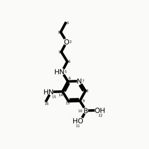 CCOCCNc1ncc(B(O)O)cc1NC